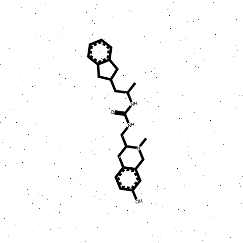 CC(CC1Cc2ccccc2C1)NC(=O)NCC1Cc2ccc(O)cc2CN1C